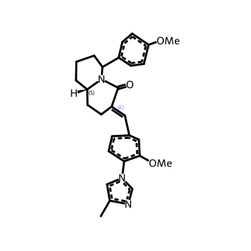 COc1ccc(C2CCC[C@H]3CC/C(=C\c4ccc(-n5cnc(C)c5)c(OC)c4)C(=O)N23)cc1